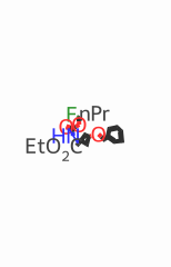 CCCC(F)OC(=O)NC1(C(=O)OCC)CC(OCc2ccccc2)C1